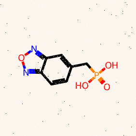 O=P(O)(O)Cc1ccc2nonc2c1